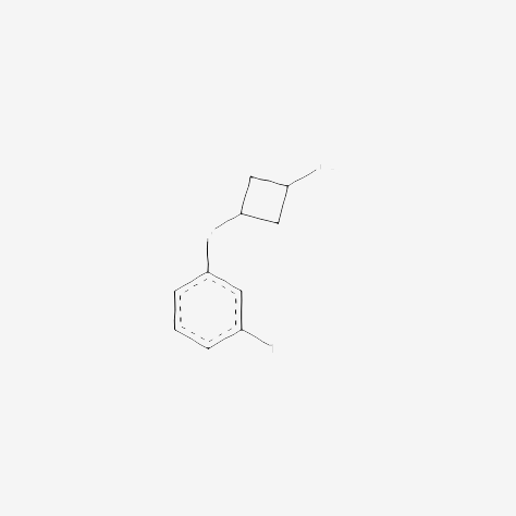 CC(C)(C)C1CC(Oc2cccc(F)c2)C1